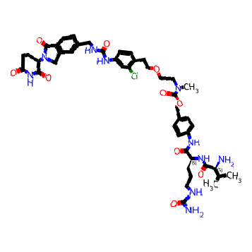 CC(C)[C@H](N)C(=O)N[C@@H](CCCNC(N)=O)C(=O)Nc1ccc(COC(=O)N(C)CCOCCc2ccc(NC(=O)NCc3ccc4c(c3)CN(C3CCC(=O)NC3=O)C4=O)cc2Cl)cc1